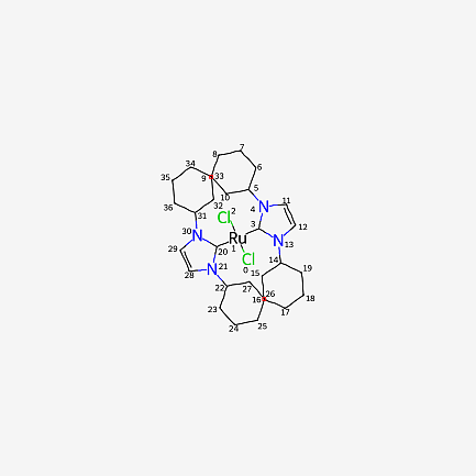 [Cl][Ru]([Cl])([CH]1N(C2CCCCC2)C=CN1C1CCCCC1)[CH]1N(C2CCCCC2)C=CN1C1CCCCC1